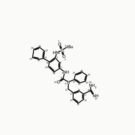 CC(C)(C)S(=O)(=O)Nc1cc(NC(=O)N(Cc2cccc(C(=N)N)c2)c2ccccc2)ccc1-c1ccccc1